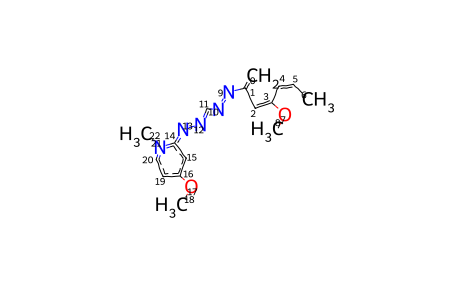 C=C(/C=C(\C=C/C)OC)/N=N/C=N/N=c1\cc(OC)ccn1C